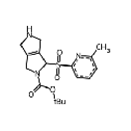 Cc1cccc(S(=O)(=O)C2C3=C(CNC3)CN2C(=O)OC(C)(C)C)n1